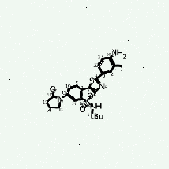 Cc1cc(-c2ncc(-c3ccc(N4CCCC4=O)cc3S(=O)(=O)NC(C)(C)C)s2)ccc1N